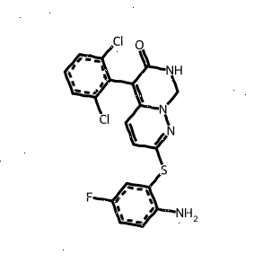 Nc1ccc(F)cc1SC1=NN2CNC(=O)C(c3c(Cl)cccc3Cl)=C2C=C1